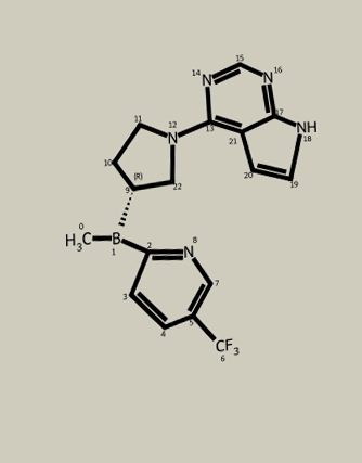 CB(c1ccc(C(F)(F)F)cn1)[C@@H]1CCN(c2ncnc3[nH]ccc23)C1